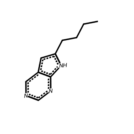 CCCCc1cc2cncnc2[nH]1